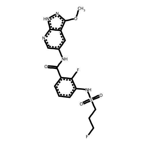 COc1n[nH]c2ncc(NC(=O)c3cccc(NS(=O)(=O)CCCF)c3F)cc12